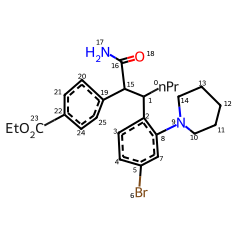 CCCC(c1ccc(Br)cc1N1CCCCC1)C(C(N)=O)c1ccc(C(=O)OCC)cc1